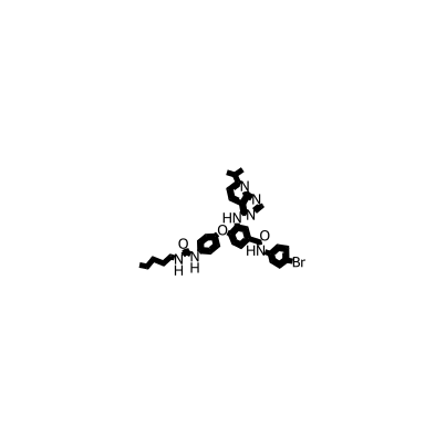 CCCCCNC(=O)Nc1ccc(Oc2ccc(C(=O)Nc3ccc(Br)cc3)cc2Nc2ncnc3nc(C(C)C)ccc23)cc1